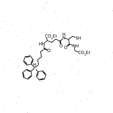 CCOC(=O)CNC(=O)C(CS)NC(=O)CCC(NC(=O)CCCC[PH](c1ccccc1)(c1ccccc1)c1ccccc1)C(=O)OCC